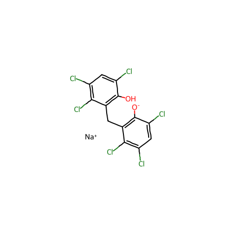 [Na+].[O-]c1c(Cl)cc(Cl)c(Cl)c1Cc1c(O)c(Cl)cc(Cl)c1Cl